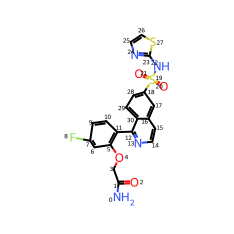 NC(=O)COc1cc(F)ccc1-c1nccc2cc(S(=O)(=O)Nc3nccs3)ccc12